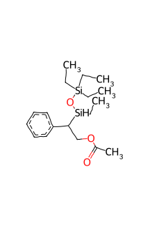 CC[SiH](O[Si](CC)(CC)CC)C(COC(C)=O)c1ccccc1